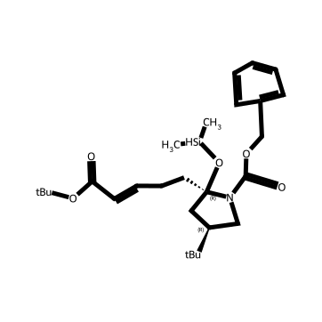 C[SiH](C)O[C@]1(CCC=CC(=O)OC(C)(C)C)C[C@H](C(C)(C)C)CN1C(=O)OCc1ccccc1